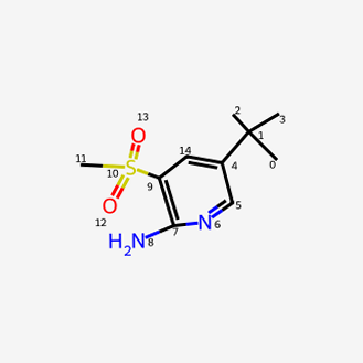 CC(C)(C)c1cnc(N)c(S(C)(=O)=O)c1